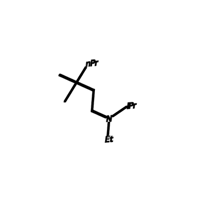 CCCC(C)(C)CCN(CC)C(C)C